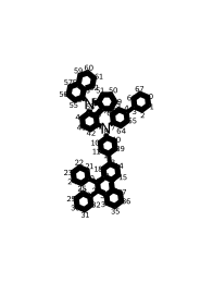 c1ccc(-c2ccc(N(c3ccc(-c4ccc5c(c4)c(-c4ccccc4)c(-c4ccccc4)c4ccccc45)cc3)c3cccc4c3c3ccccc3n4-c3cccc4ccccc34)cc2)cc1